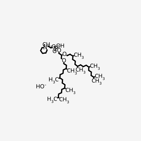 CC(C)CCCC(C)CCCC(C)CCCC(C)CCOCC(COP(=O)(O)OCC[N+]1(C)CCCCC1)OCCC(C)CCCC(C)CCCC(C)CCCC(C)C.[OH-]